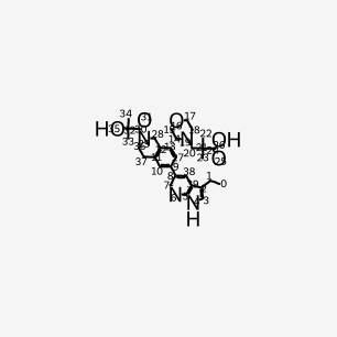 CCc1c[nH]c2ncc(-c3cc4c(c([C@@H]5COCCN5CC(C)(C)C(=O)O)c3)CN(C(=O)C(C)(C)O)CC4)cc12